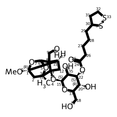 CO[C@]12C[C@]3(C)OC(O1)C1(CO)[C@H]2C[C@@]13O[C@@H]1OC(CO)[C@@H](O)[C@H](OC(=O)CCCCC2CCSS2)C1O